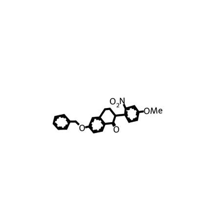 COc1ccc(C2CCc3cc(OCc4ccccc4)ccc3C2=O)c([N+](=O)[O-])c1